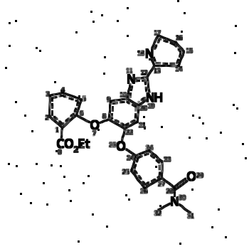 CCOC(=O)c1ccccc1Oc1cc2nc(-c3ccccn3)[nH]c2cc1Oc1ccc(C(=O)N(C)C)cc1